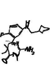 CN1C(=O)C(C)(C)[C@@](C)(c2cc(NCC3CCC3)ccc2F)N=C1N